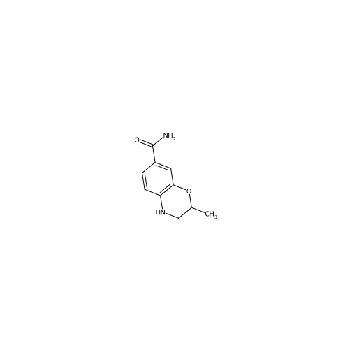 CC1CNc2ccc(C(N)=O)cc2O1